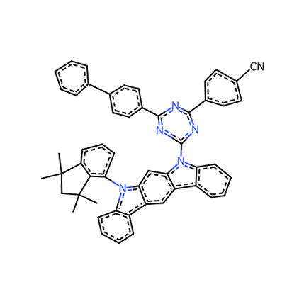 CC1(C)CC(C)(C)c2c(-n3c4ccccc4c4cc5c6ccccc6n(-c6nc(-c7ccc(C#N)cc7)nc(-c7ccc(-c8ccccc8)cc7)n6)c5cc43)cccc21